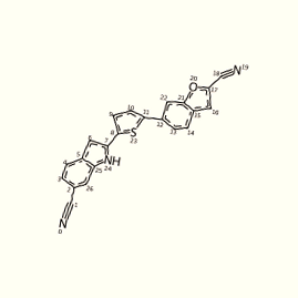 N#Cc1ccc2cc(-c3ccc(-c4ccc5cc(C#N)oc5c4)s3)[nH]c2c1